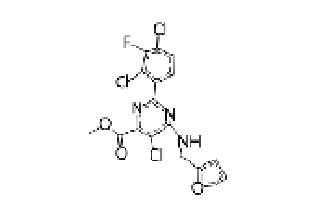 COC(=O)c1nc(-c2ccc(Cl)c(F)c2Cl)nc(NCc2ccco2)c1Cl